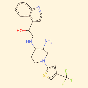 NC1CN(c2cc(C(F)(F)F)cs2)CCC1NCC(O)c1ccnc2ccccc12